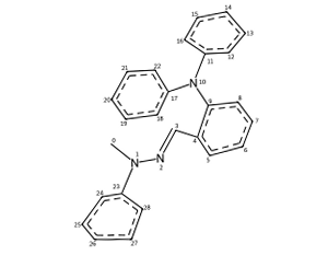 CN(N=Cc1ccccc1N(c1ccccc1)c1ccccc1)c1ccccc1